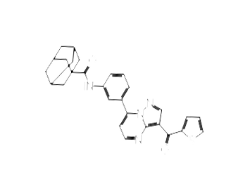 O=C(c1cccs1)c1cnn2c(-c3cccc(NC(=O)C45CC6CC(CC(C6)C4)C5)c3)ccnc12